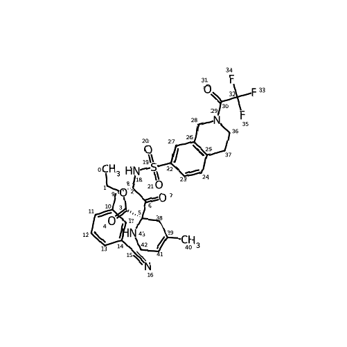 CCOC(=O)[C@]1(C(=O)[C@H](Cc2cccc(C#N)c2)NS(=O)(=O)c2ccc3c(c2)CN(C(=O)C(F)(F)F)CC3)CC(C)=CCN1